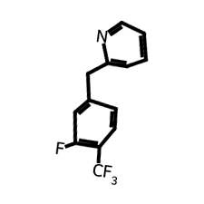 Fc1cc(Cc2ccccn2)ccc1C(F)(F)F